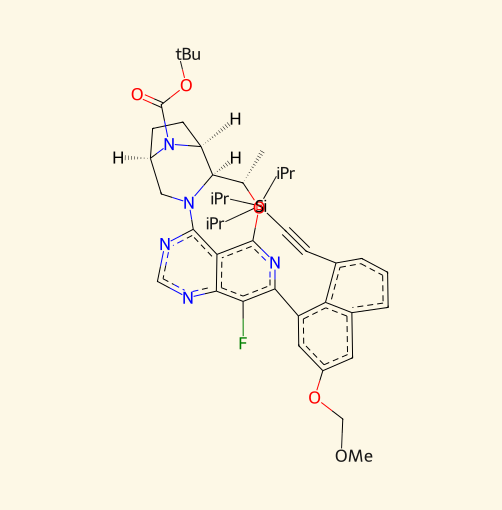 COCOc1cc(-c2nc3c4c(ncnc4c2F)N2C[C@H]4CC[C@@H]([C@H]2[C@H](C)O3)N4C(=O)OC(C)(C)C)c2c(C#C[Si](C(C)C)(C(C)C)C(C)C)cccc2c1